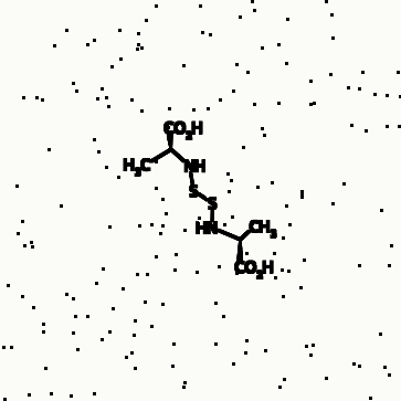 C[C@H](NSSN[C@@H](C)C(=O)O)C(=O)O